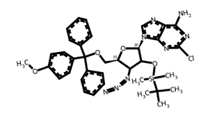 COc1ccc(C(OC[C@H]2O[C@@H](n3cnc4c(N)nc(Cl)nc43)C(O[Si](C)(C)C(C)(C)C)C2N=[N+]=[N-])(c2ccccc2)c2ccccc2)cc1